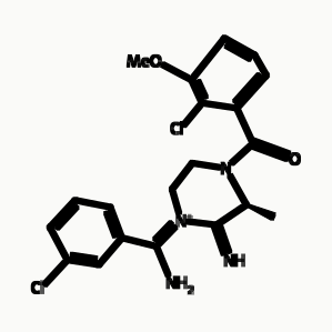 COc1cccc(C(=O)N2CC/[N+](=C(/N)c3cccc(Cl)c3)C(=N)[C@@H]2C)c1Cl